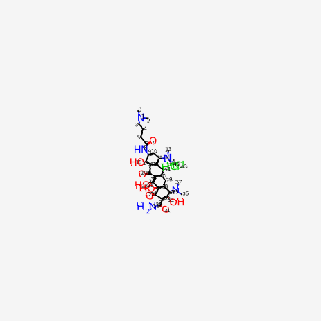 CN(C)CCCC(=O)Nc1cc(N(C)C)c2c(c1O)C(=O)C1=C(O)C3(O)C(=O)C(C(N)=O)=C(O)[C@@H](N(C)C)C3CC1C2.Cl.Cl